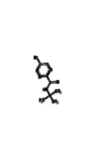 CC(C)(NC(=O)c1ncc(Br)cn1)C(F)(F)F